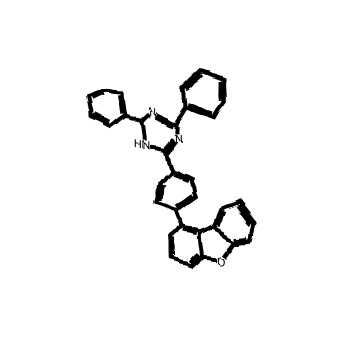 c1ccc(C2=NC(c3ccccc3)NC(c3ccc(-c4cccc5oc6ccccc6c45)cc3)=N2)cc1